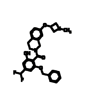 CN1CC(Oc2ccc3c(c2)CN(C(=O)c2c(O)cc(C(F)F)cc2OCc2ccccc2)CC3)C1